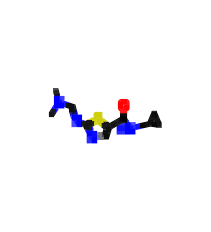 CN(C)C=Nc1ncc(C(=O)NC2CC2)s1